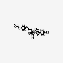 COCOc1ccc(C=CCN(C(=O)O)C(=O)NS(=O)(=O)c2ccc(Cl)cc2)cc1